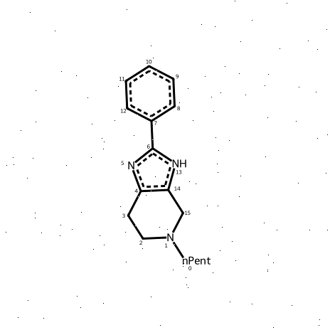 CCCCCN1CCc2nc(-c3ccccc3)[nH]c2C1